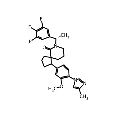 COc1cc(C2CCCC23CCCN([C@@H](C)c2cc(F)c(F)c(F)c2)C3=O)ccc1-n1cnc(C)c1